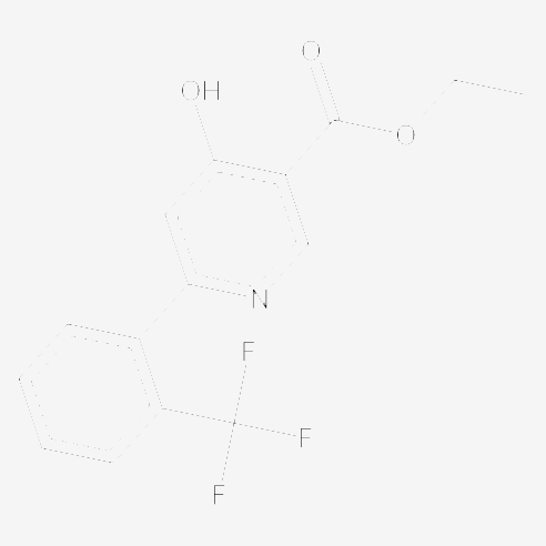 CCOC(=O)c1cnc(-c2ccccc2C(F)(F)F)cc1O